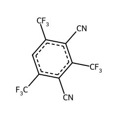 N#Cc1c(C(F)(F)F)cc(C(F)(F)F)c(C#N)c1C(F)(F)F